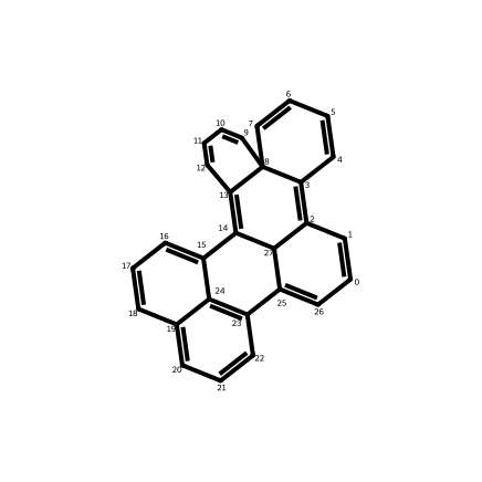 C1=CC2=C3C=CC=CC34C=CC=CC4=C3c4cccc5cccc(c45)C(=C1)C23